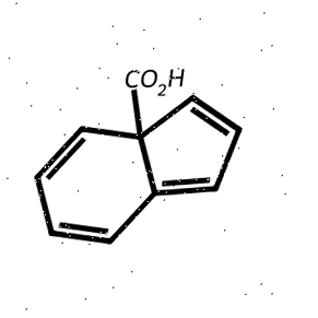 O=C(O)C12C=CC=CC1=CC=C2